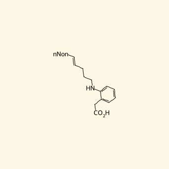 CCCCCCCCCC=CCCCNc1ccccc1CC(=O)O